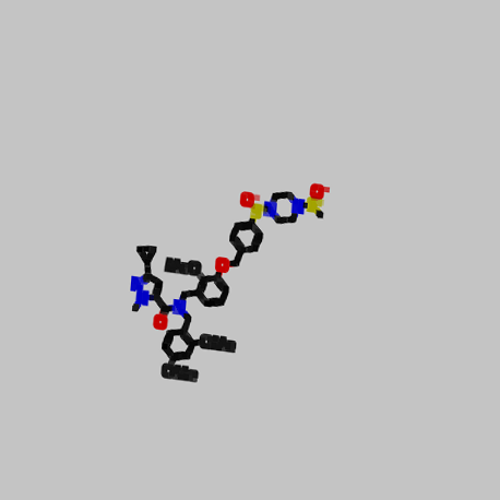 COc1ccc(CN(Cc2cccc(OCc3ccc([S+]([O-])N4CCN([S+](C)[O-])CC4)cc3)c2OC)C(=O)c2cc(C3CC3)nn2C)c(OC)c1